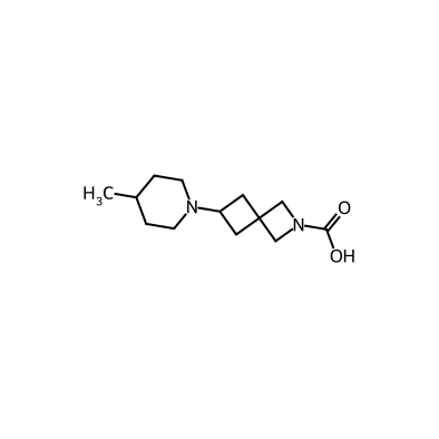 CC1CCN(C2CC3(C2)CN(C(=O)O)C3)CC1